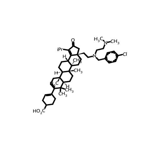 CC(C)C1=C2[C@H]3CC[C@@H]4[C@@]5(C)CC=C(C6=CCC(C(=O)O)CC6)C(C)(C)[C@@H]5CC[C@@]4(C)[C@]3(C)CC[C@@]2(CCN(CCN(C)C)Cc2ccc(Cl)cc2)CC1=O